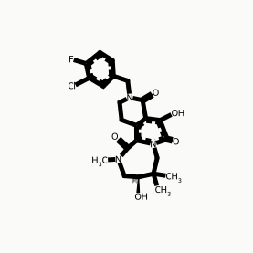 CN1C[C@H](O)C(C)(C)Cn2c(c3c(c(O)c2=O)C(=O)N(Cc2ccc(F)c(Cl)c2)CC3)C1=O